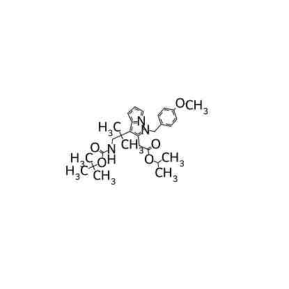 COc1ccc(Cn2c(CC(=O)OC(C)C)c(C(C)(C)CNC(=O)OC(C)(C)C)c3cccn32)cc1